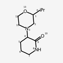 CC(C)C1CN(C2CCCNC2=O)CCO1